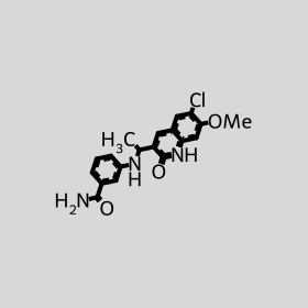 COc1cc2[nH]c(=O)c(C(C)Nc3cccc(C(N)=O)c3)cc2cc1Cl